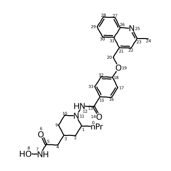 CCCC1CC(CC(=O)NO)CCN1NC(=O)c1ccc(OCc2cc(C)nc3ccccc23)cc1